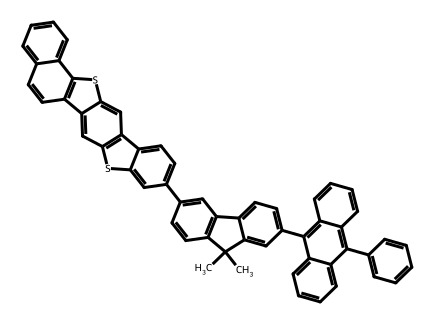 CC1(C)c2ccc(-c3ccc4c(c3)sc3cc5c(cc34)sc3c4ccccc4ccc53)cc2-c2ccc(-c3c4ccccc4c(-c4ccccc4)c4ccccc34)cc21